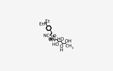 CCN(CC)c1ccc(/C=C(\C#N)S(=O)(=O)NC[C@@H](O)[C@@H](O)[C@H](O)[C@H](C)O)cc1